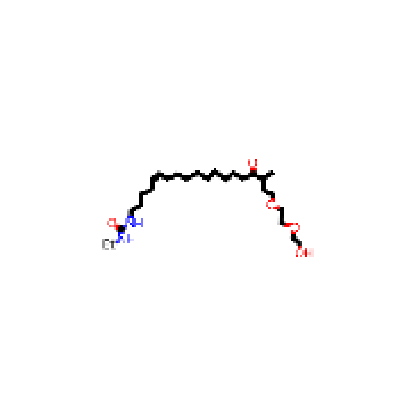 CCNC(=O)NCCCC/C=C\CCCCCCCCCC(=O)C(C)CCOCCOCCO